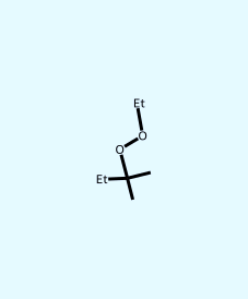 [CH2]COOC(C)(C)CC